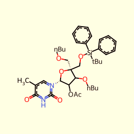 CCCCOC[C@@]1(CO[Si](c2ccccc2)(c2ccccc2)C(C)(C)C)O[C@@H](n2cc(C)c(=O)[nH]c2=O)C(OC(C)=O)C1OCCCC